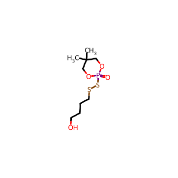 CC1(C)COP(=O)(SSCCCCO)OC1